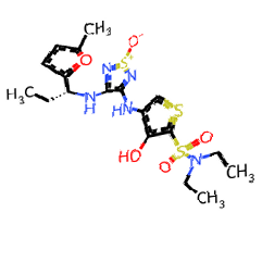 CC[C@@H](Nc1n[s+]([O-])nc1Nc1csc(S(=O)(=O)N(CC)CC)c1O)c1ccc(C)o1